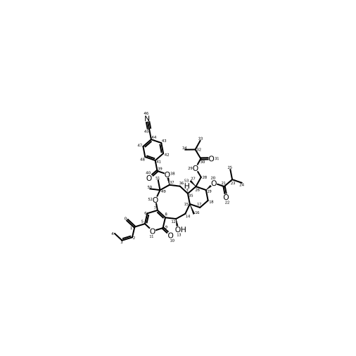 C=C(/C=C\C)c1cc2c(c(=O)o1)[C@H](O)C[C@@]1(C)CC[C@H](OC(=O)C(C)C)[C@@](C)(COC(=O)C(C)C)[C@@H]1C[C@H](OC(=O)c1ccc(C#N)cc1)C(C)(C)O2